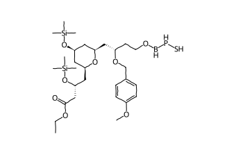 CCOC(=O)C[C@@H](C[C@H]1C[C@@H](O[Si](C)(C)C)C[C@@H](C[C@H](CCOBPS)OCc2ccc(OC)cc2)O1)O[Si](C)(C)C